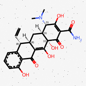 C=C[C@H]1c2cccc(O)c2C(=O)C2=C(O)[C@]3(O)C(=O)C(C(N)=O)=C(O)[C@@H](N(C)C)[C@@H]3C[C@@H]21